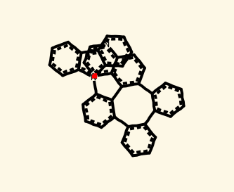 c1ccc2c(c1)-c1ccccc1-c1ccc3nccnc3c1-c1c-2cccc1-n1c2ccccc2c2ccccc21